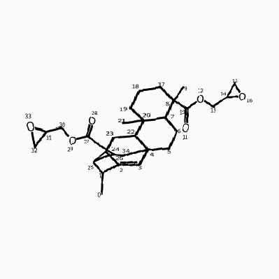 CC1C2=CC34CCC5C(C)(C(=O)OCC6CO6)CCCC5(C)C3CC2C1C(C(=O)OCC1CO1)C4